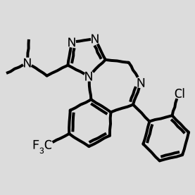 CN(C)Cc1nnc2n1-c1cc(C(F)(F)F)ccc1C(c1ccccc1Cl)=NC2